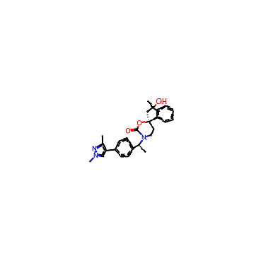 Cc1nn(C)cc1-c1ccc([C@H](C)N2CC[C@](CC(C)(C)O)(c3ccccc3)OC2=O)cc1